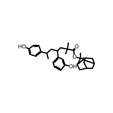 CC(CC(CC(C)(C)C(=O)OC1(C)C2CC3CC(C2)CC1C3)c1cccc(O)c1)c1ccc(O)cc1